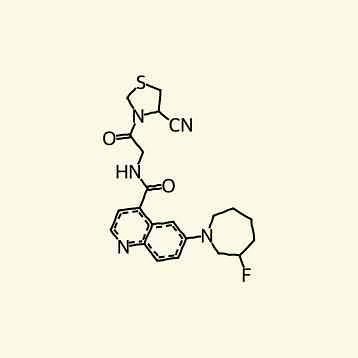 N#CC1CSCN1C(=O)CNC(=O)c1ccnc2ccc(N3CCCCC(F)C3)cc12